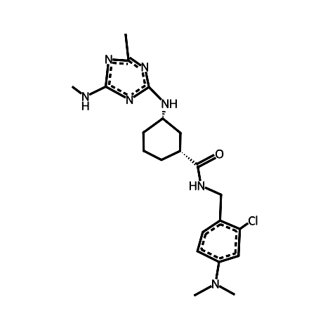 CNc1nc(C)nc(N[C@H]2CCC[C@@H](C(=O)NCc3ccc(N(C)C)cc3Cl)C2)n1